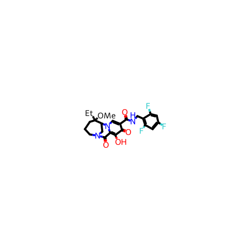 CCC1(OC)CCCN2CC1n1cc(C(=O)NCc3c(F)cc(F)cc3F)c(=O)c(O)c1C2=O